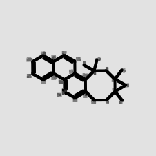 CC1(C)CC2(C)CC2(C)CCc2cnc3c(ccc4ccccc43)c21